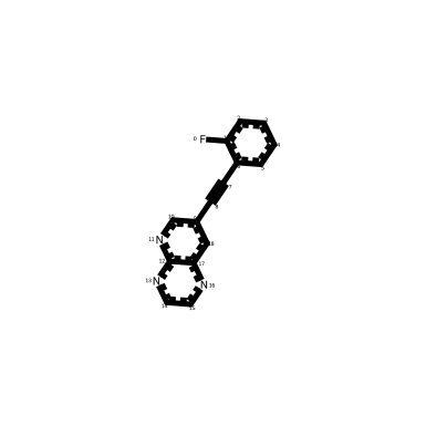 Fc1ccccc1C#Cc1cnc2nccnc2c1